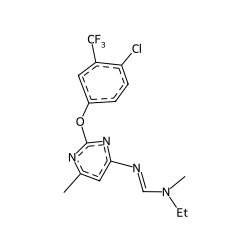 CCN(C)/C=N/c1cc(C)nc(Oc2ccc(Cl)c(C(F)(F)F)c2)n1